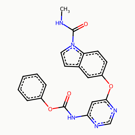 CNC(=O)n1ccc2cc(Oc3cc(NC(=O)Oc4ccccc4)ncn3)ccc21